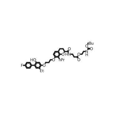 CCCc1c(OCCCOc2cc(O)c(-c3ccc(F)cc3)cc2CC)ccc2c1OC(C(=O)NCCC(=O)OCCNC(=O)OC(C)(C)C)CC2